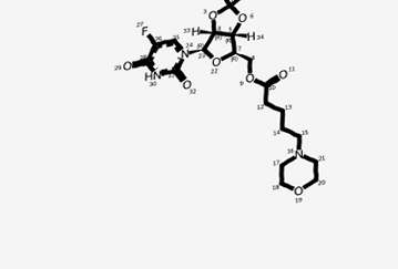 CC1(C)O[C@@H]2[C@H](O1)[C@@H](COC(=O)CCCCN1CCOCC1)O[C@H]2n1cc(F)c(=O)[nH]c1=O